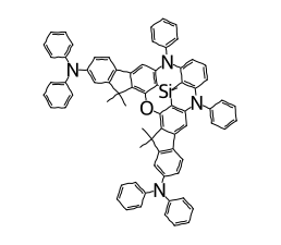 CC1(C)c2cc(N(c3ccccc3)c3ccccc3)ccc2-c2cc3c4c(c21)Oc1c2c(cc5c1[Si]4(C)c1c(cccc1N5c1ccccc1)N3c1ccccc1)-c1ccc(N(c3ccccc3)c3ccccc3)cc1C2(C)C